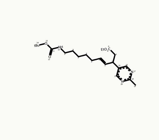 CCOC(=O)CC(/C=C/CCCCCNC(=O)OC(C)(C)C)c1cnc(C)nc1